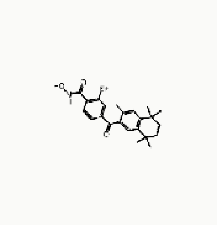 CCc1cc(C(=O)c2cc3c(cc2C)C(C)(C)CCC3(C)C)ccc1C(=O)NO